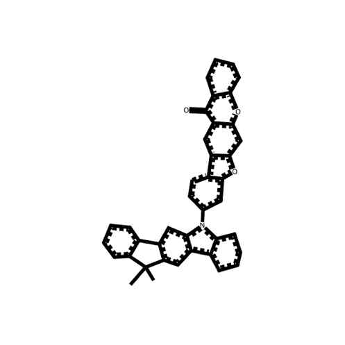 CC1(C)c2ccccc2-c2cc3c(cc21)c1ccccc1n3-c1ccc2c(c1)oc1cc3oc4ccccc4c(=O)c3cc12